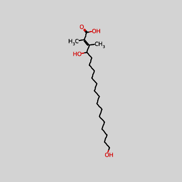 CC(C(=O)O)=C(C)C(O)CCCCCCCCCCCCCCCO